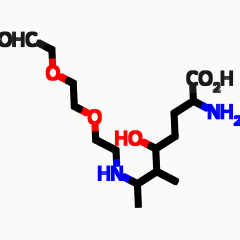 CC(NCCOCCOCC=O)C(C)C(O)CCC(N)C(=O)O